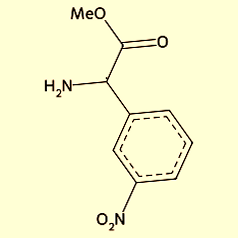 COC(=O)[C](N)c1cccc([N+](=O)[O-])c1